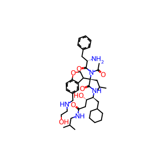 CC(=O)N(C(=O)[C@@H](N)Cc1ccccc1)[C@](CC(C)C)(C(=O)N[C@@H](CC1CCCCC1)[C@@H](O)CC(=O)NCC(C)C)C1COc2ccc(CNCCO)cc21